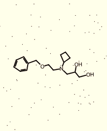 OCC(O)CN(CCOCc1ccccc1)C1CCC1